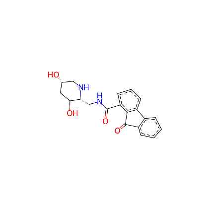 O=C(NC[C@H]1NC[C@@H](O)CC1O)c1cccc2c1C(=O)c1ccccc1-2